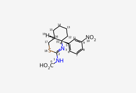 O=C(O)NC1=N[C@@]2(c3cccc([N+](=O)[O-])c3)CCCC[C@H]2CS1